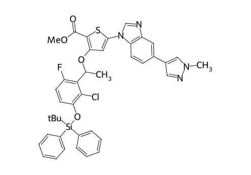 COC(=O)c1sc(-n2cnc3cc(-c4cnn(C)c4)ccc32)cc1OC(C)c1c(F)ccc(O[Si](c2ccccc2)(c2ccccc2)C(C)(C)C)c1Cl